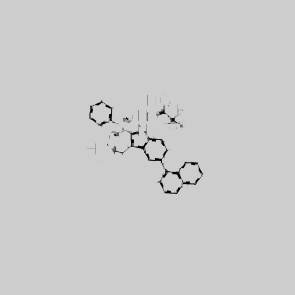 NCc1c(S(=O)(=O)c2ccccc2)[nH]c2ccc(-c3cccc4ccccc34)cc12.O=C(O)C(F)(F)F